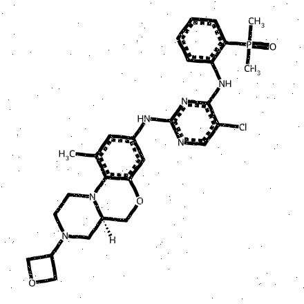 Cc1cc(Nc2ncc(Cl)c(Nc3ccccc3P(C)(C)=O)n2)cc2c1N1CCN(C3COC3)C[C@@H]1CO2